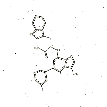 Cc1cnn2c(N[C@@H](Cc3c[nH]c4ccccc34)C(N)=O)cc(-c3cncc(F)c3)nc12